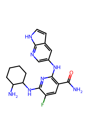 NC(=O)c1cc(F)c(NC2CCCCC2N)nc1Nc1cnc2[nH]ccc2c1